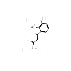 CCOP1(=O)OC(CC(=O)N(C)C)c2cccc(C)c21